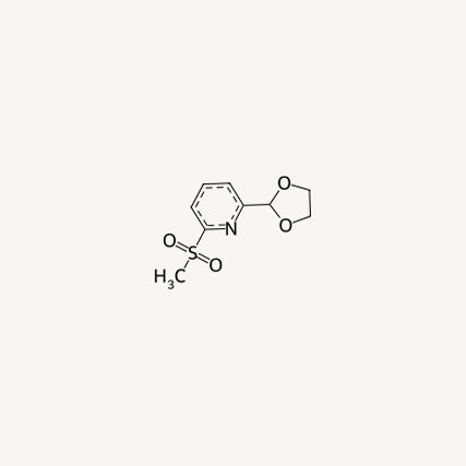 CS(=O)(=O)c1cccc(C2OCCO2)n1